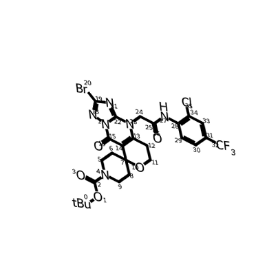 CC(C)(C)OC(=O)N1CCC2(CC1)OCCc1c2c(=O)n2nc(Br)nc2n1CC(=O)Nc1ccc(C(F)(F)F)cc1Cl